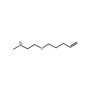 C=CCCCOCC[SiH2]C